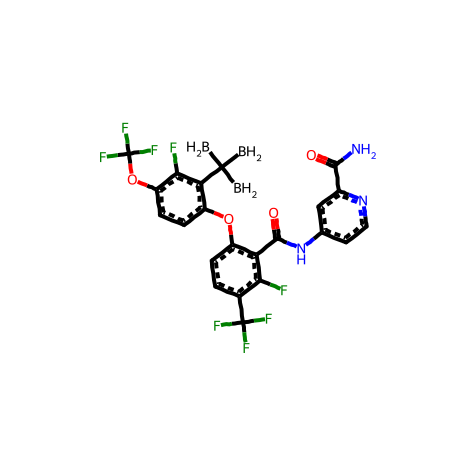 BC(B)(B)c1c(Oc2ccc(C(F)(F)F)c(F)c2C(=O)Nc2ccnc(C(N)=O)c2)ccc(OC(F)(F)F)c1F